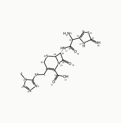 Cn1nnnc1SCC1=C(C(=O)O)N2C(=O)[C@@H](NC(=O)C(N)c3csc(=N)[nH]3)C2SC1